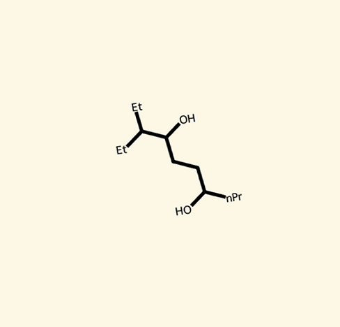 CCCC(O)CCC(O)C(CC)CC